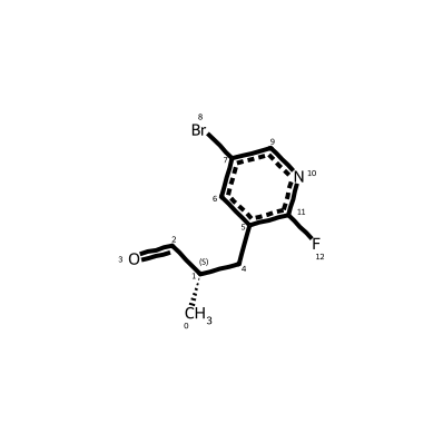 C[C@H](C=O)Cc1cc(Br)cnc1F